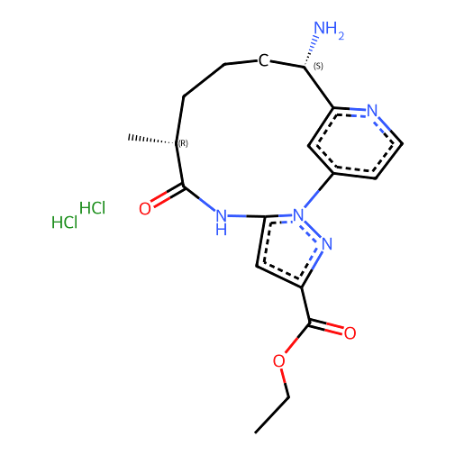 CCOC(=O)c1cc2n(n1)-c1ccnc(c1)[C@@H](N)CCC[C@@H](C)C(=O)N2.Cl.Cl